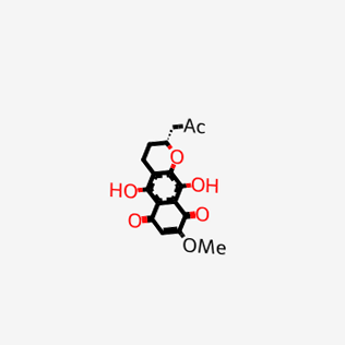 COC1=CC(=O)c2c(O)c3c(c(O)c2C1=O)O[C@@H](CC(C)=O)CC3